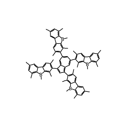 CB1c2c(C)cc(C)cc2-c2cc(C)c(-c3cc(-c4c(C)cc5c(c4C)B(C)c4c(C)cc(C)cc4-5)cc4c(-c5c(C)cc6c(c5C)B(C)c5c(C)cc(C)cc5-6)cc(-c5c(C)cc6c(c5C)B(C)c5c(C)cc(C)cc5-6)c-4c3)c(C)c21